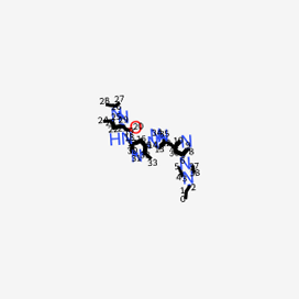 CCCN1CCN(c2cncc(-c3cn(-c4cc(NC(=O)c5cc(C)n(C(C)C)n5)cnc4C)nn3)c2)CC1